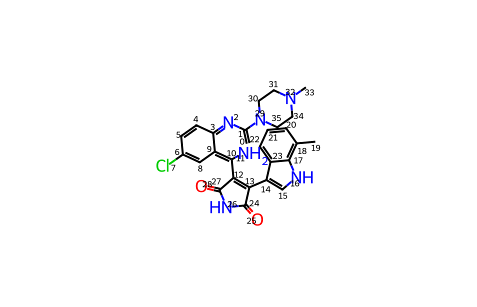 C=C(/N=C1/C=CC(Cl)=C/C1=C(/N)C1=C(c2c[nH]c3c(C)cccc23)C(=O)NC1=O)N1CCN(C)CC1